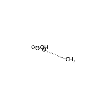 CCCCCCCCCCCCCCCCCCOCC(O)CCOCc1ccccc1